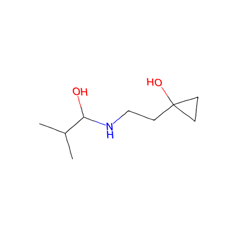 CC(C)C(O)NCCC1(O)CC1